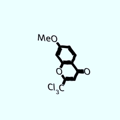 COc1ccc2c(=O)cc(C(Cl)(Cl)Cl)oc2c1